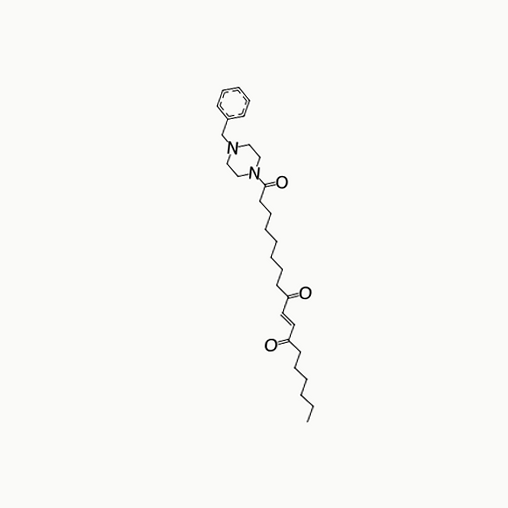 CCCCCCC(=O)C=CC(=O)CCCCCCCC(=O)N1CCN(Cc2ccccc2)CC1